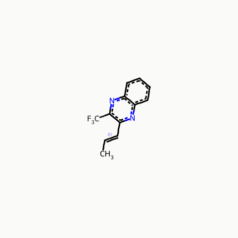 C/C=C/c1nc2ccccc2nc1C(F)(F)F